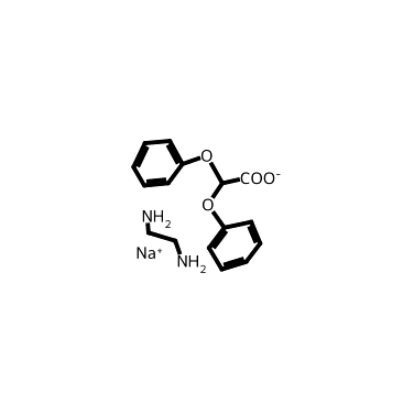 NCCN.O=C([O-])C(Oc1ccccc1)Oc1ccccc1.[Na+]